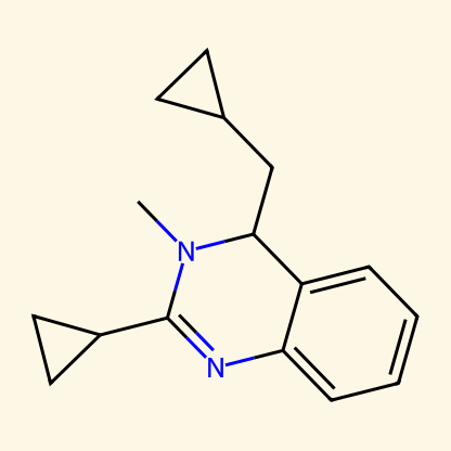 CN1C(C2CC2)=Nc2ccccc2C1CC1CC1